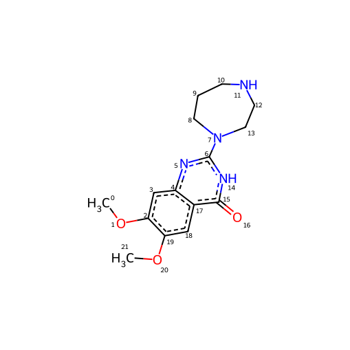 COc1cc2nc(N3CCCNCC3)[nH]c(=O)c2cc1OC